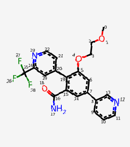 COCCOc1cc(-c2cccnc2)cc(C(N)=O)c1-c1ccnc(C(F)(F)F)c1